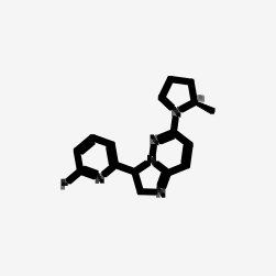 C[C@@H]1CCCN1C1=NN2C(=NCC2c2cccc(F)n2)C=C1